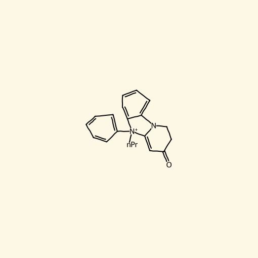 CCC[N+]1(c2ccccc2)C2=CC(=O)CCN2c2ccccc21